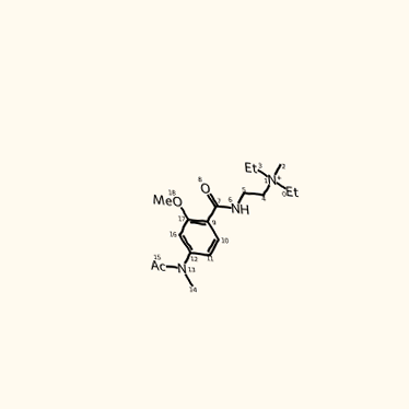 CC[N+](C)(CC)CCNC(=O)c1ccc(N(C)C(C)=O)cc1OC